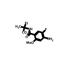 CCC(C)(NC(=O)c1cc(F)c(N)cc1OC)C(=O)O